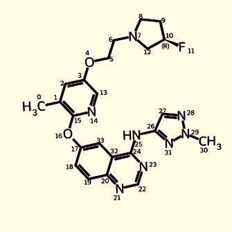 Cc1cc(OCCN2CC[C@@H](F)C2)cnc1Oc1ccc2ncnc(Nc3cnn(C)n3)c2c1